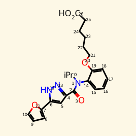 CC(C)N(C(=O)c1cc(-c2ccco2)[nH]n1)c1ccccc1OCCCCCC(=O)O